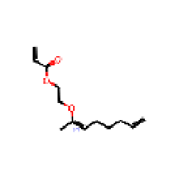 C=CCCC/C=C(/C)OCCOC(=O)C=C